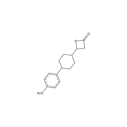 CC(=O)Oc1ccc(C2CCC(C3CC(=O)O3)CC2)cc1